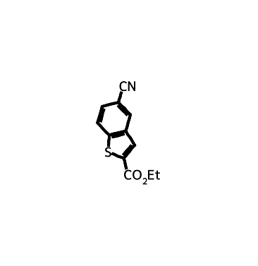 CCOC(=O)c1cc2cc(C#N)ccc2s1